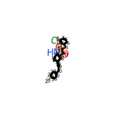 O=C1/C(=C/c2cccc(Cl)c2)[S+]([O-])Nc2ccc(C#CCc3ccc(F)cc3)cc21